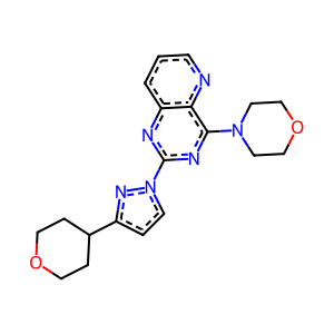 c1cnc2c(N3CCOCC3)nc(-n3ccc(C4CCOCC4)n3)nc2c1